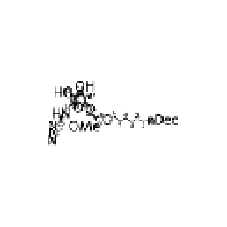 CCCCCCCCCCCCCCCCOCC(CO[C@@H]1OC(CNCCN=[N+]=[N-])[C@@H](O)[C@H](O)C1C)OC